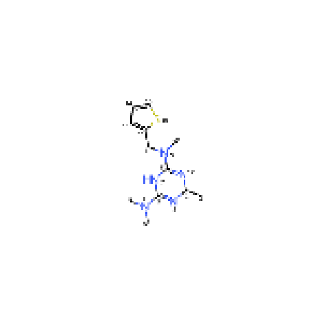 CC1N=C(N(C)C)NC(N(C)Cc2cccs2)=N1